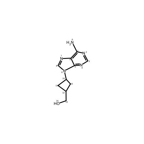 Nc1ncnc2c1ncn2C1CC(CO)C1